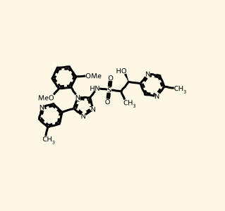 COc1cccc(OC)c1-n1c(NS(=O)(=O)C(C)[C@@H](O)c2cnc(C)cn2)nnc1-c1cncc(C)c1